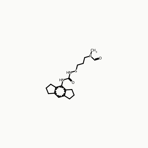 CN(C=O)CCCSNC(=O)Nc1c2c(cc3c1CCC3)CCC2